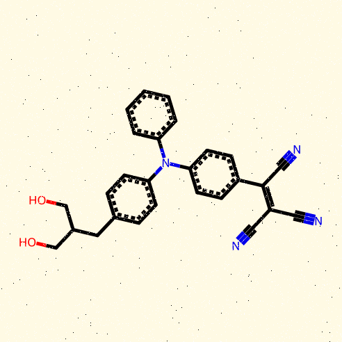 N#CC(C#N)=C(C#N)c1ccc(N(c2ccccc2)c2ccc(CC(CO)CO)cc2)cc1